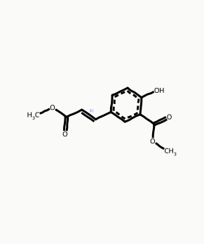 COC(=O)/C=C/c1ccc(O)c(C(=O)OC)c1